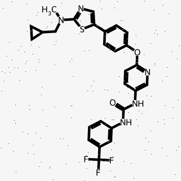 CN(CC1CC1)c1ncc(-c2ccc(Oc3ccc(NC(=O)Nc4cccc(C(F)(F)F)c4)cn3)cc2)s1